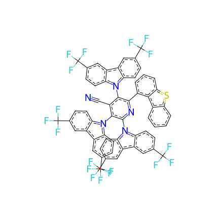 N#Cc1c(-n2c3ccc(C(F)(F)F)cc3c3cc(C(F)(F)F)ccc32)c(-c2cccc3sc4ccccc4c23)nc(-n2c3ccc(C(F)(F)F)cc3c3cc(C(F)(F)F)ccc32)c1-n1c2ccc(C(F)(F)F)cc2c2cc(C(F)(F)F)ccc21